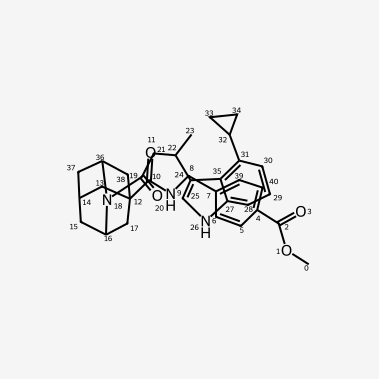 COC(=O)c1ccc(CNC(=O)C23CC4CC(C2)N(C(=O)CC(C)c2c[nH]c5cccc(C6CC6)c25)C(C4)C3)cc1